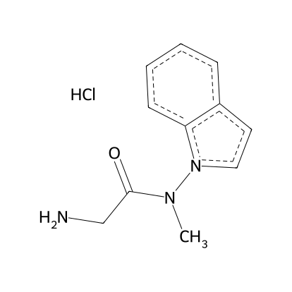 CN(C(=O)CN)n1ccc2ccccc21.Cl